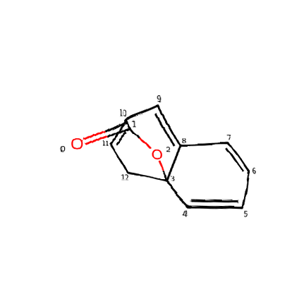 O=C1OC23C=CC=CC2=CC1=CC3